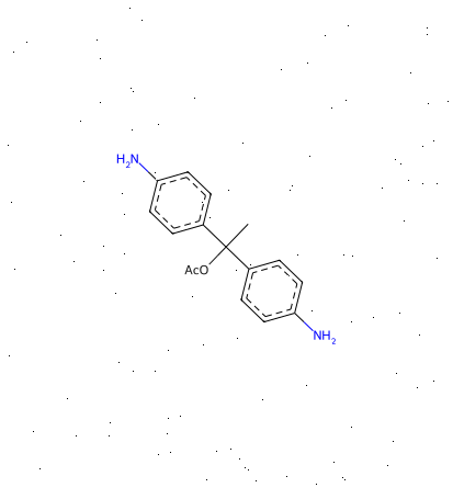 CC(=O)OC(C)(c1ccc(N)cc1)c1ccc(N)cc1